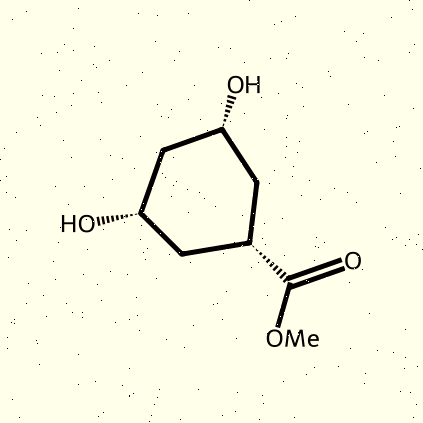 COC(=O)[C@@H]1C[C@H](O)C[C@H](O)C1